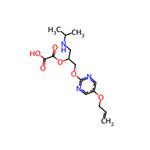 C=CCOc1cnc(OCC(CNC(C)C)OC(=O)C(=O)O)nc1